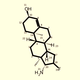 C[C@]12CC[C@H]3[C@@H](CCC4=C[C@H](O)CC[C@@]43C)[C@@H]1CC(F)[C@@H]2N